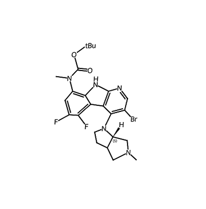 CN1CC2CCN(c3c(Br)cnc4[nH]c5c(N(C)C(=O)OC(C)(C)C)cc(F)c(F)c5c34)[C@@H]2C1